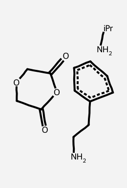 CC(C)N.NCCc1ccccc1.O=C1COCC(=O)O1